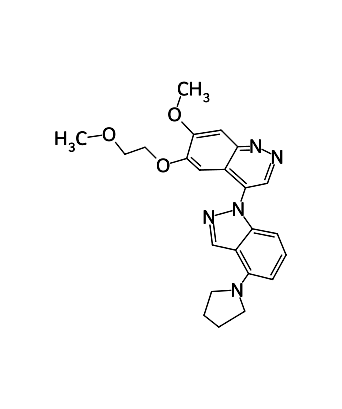 COCCOc1cc2c(-n3ncc4c(N5CCCC5)cccc43)cnnc2cc1OC